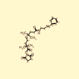 CC(C)(CCC(=O)NCCSSc1ccccn1)OCCC(C)(C)C(=O)ON1C(=O)CCC1=O